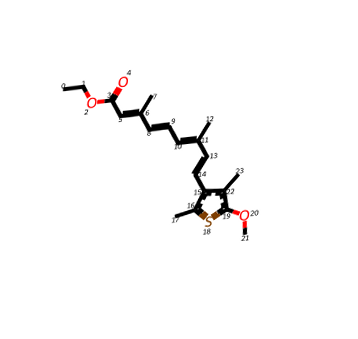 CCOC(=O)/C=C(\C)C=CC=C(C)C=Cc1c(C)sc(OC)c1C